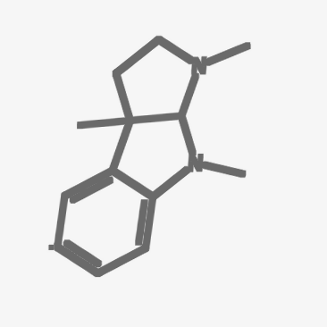 CN1CCC2(C)c3c[c]ccc3N(C)C12